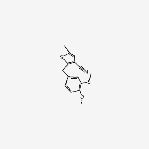 COc1ccc(Cc2sc(C)cc2C#N)cc1SC